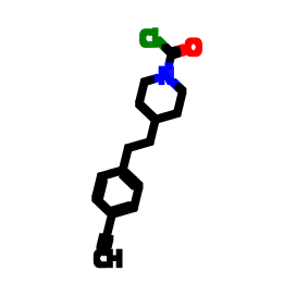 C#Cc1ccc(CCC2CCN(C(=O)Cl)CC2)cc1